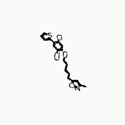 Cc1cc(CCCCCOc2cc(Cl)c(-c3cccs3)cc2Cl)on1